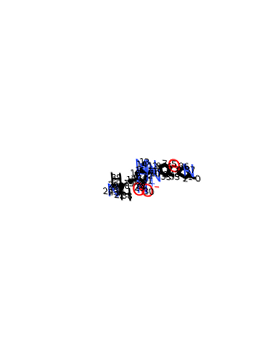 Cc1ccc(Oc2ccc(Nc3ncnc4cc(C#C[C@@H]5[C@H]6CN(C)C[C@@H]56)c([N+](=O)[O-])cc34)cc2C)cn1